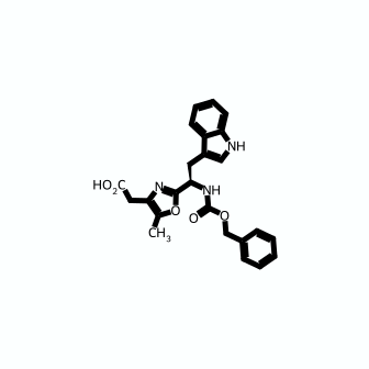 Cc1oc([C@@H](Cc2c[nH]c3ccccc23)NC(=O)OCc2ccccc2)nc1CC(=O)O